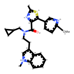 COc1ccc(-c2sc(C)nc2C(=O)N(CCc2cn(C)c3ccccc23)CC2CC2)cn1